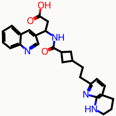 O=C(O)CC(NC(=O)C1CC(CCc2ccc3c(n2)NCCC3)C1)c1cnc2ccccc2c1